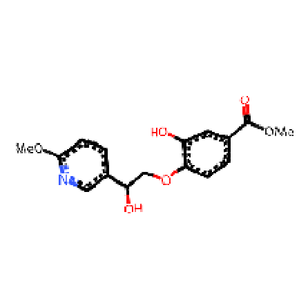 COC(=O)c1ccc(OCC(O)c2ccc(OC)nc2)c(O)c1